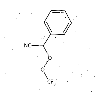 N#CC(OOC(F)(F)F)c1ccccc1